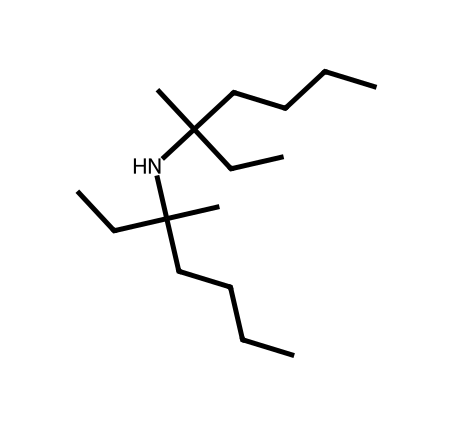 CCCCC(C)(CC)NC(C)(CC)CCCC